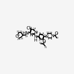 CC(=O)N1CCN(c2ccc(Nc3ncc(Cl)c(NCC4CCOCC4)n3)cc2OC(C)C)CC1